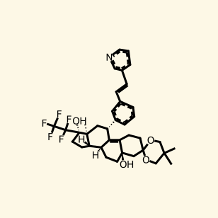 CC1(C)COC2(CCC3=C4[C@@H](CC[C@@]3(O)C2)[C@@H]2CC[C@@](O)(C(F)(F)C(F)(F)F)[C@@]2(C)C[C@@H]4c2cccc(/C=C/c3cccnc3)c2)OC1